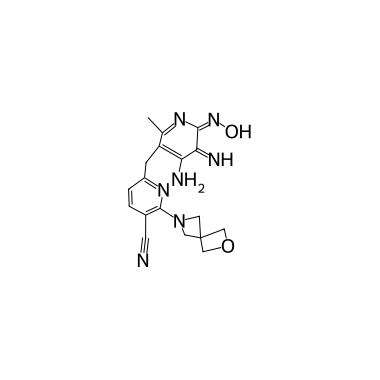 CC1=N/C(=N/O)C(=N)C(N)=C1Cc1ccc(C#N)c(N2CC3(COC3)C2)n1